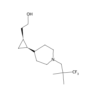 CC(C)(CN1CCC([C@H]2C[C@H]2CCO)CC1)C(F)(F)F